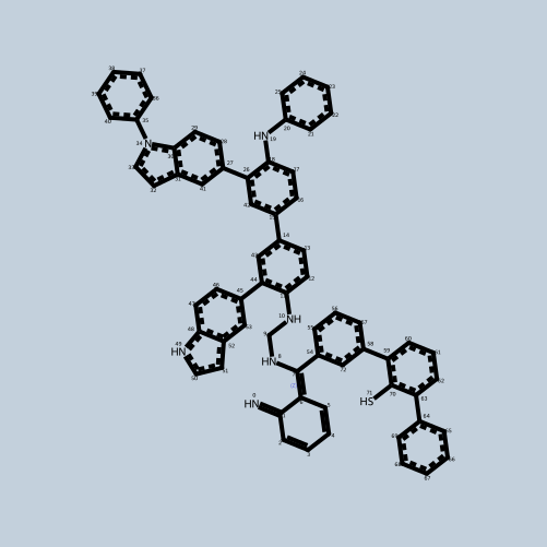 N=C1C=CC=C/C1=C(/NCNc1ccc(-c2ccc(Nc3ccccc3)c(-c3ccc4c(ccn4-c4ccccc4)c3)c2)cc1-c1ccc2[nH]ccc2c1)c1cccc(-c2cccc(-c3ccccc3)c2S)c1